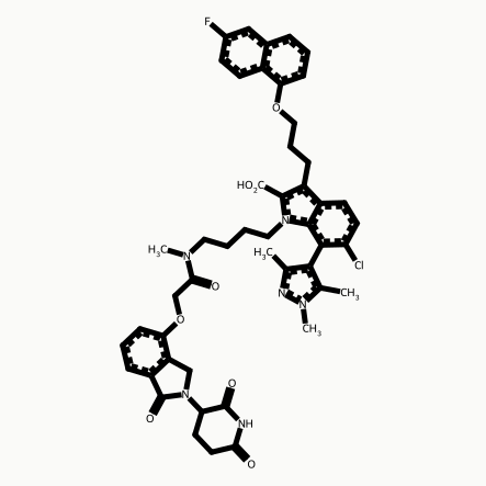 Cc1nn(C)c(C)c1-c1c(Cl)ccc2c(CCCOc3cccc4cc(F)ccc34)c(C(=O)O)n(CCCCN(C)C(=O)COc3cccc4c3CN(C3CCC(=O)NC3=O)C4=O)c12